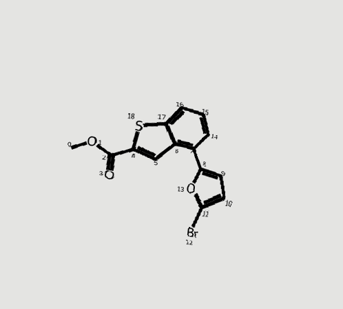 COC(=O)c1cc2c(-c3ccc(Br)o3)cccc2s1